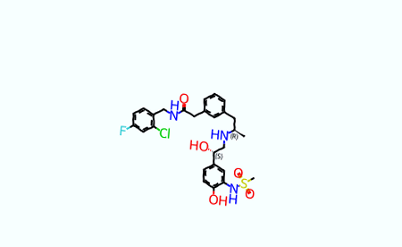 C[C@H](Cc1cccc(CC(=O)NCc2ccc(F)cc2Cl)c1)NC[C@@H](O)c1ccc(O)c(NS(C)(=O)=O)c1